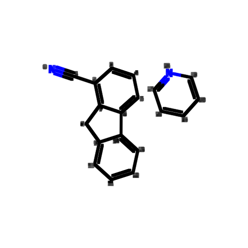 N#Cc1cccc2c1Cc1ccccc1-2.c1ccncc1